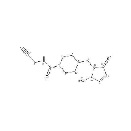 C#CCNC(=O)C1CCC(CN2C(=O)C=CC2O)CC1